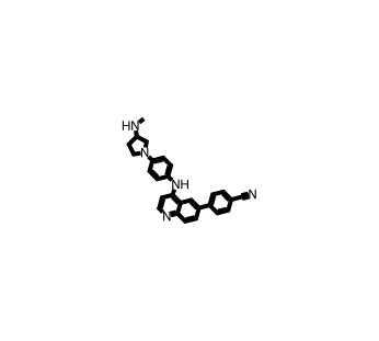 CNC1CCN(c2ccc(Nc3ccnc4ccc(-c5ccc(C#N)cc5)cc34)cc2)C1